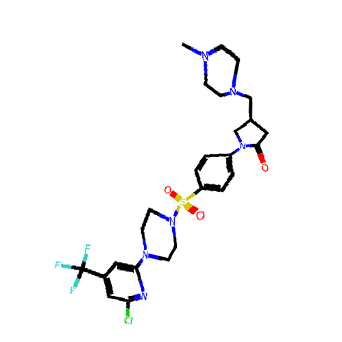 CN1CCN(CC2CC(=O)N(c3ccc(S(=O)(=O)N4CCN(c5cc(C(F)(F)F)cc(Cl)n5)CC4)cc3)C2)CC1